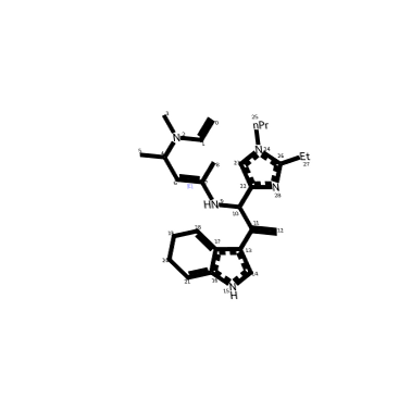 C=CN(C)C(C)/C=C(\C)NC(C(=C)c1c[nH]c2c1=CCCC=2)c1cn(CCC)c(CC)n1